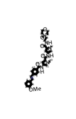 COc1cccc(/C=C/c2ccc(C(=O)Nc3cc(C(=O)Nc4cc(C(=O)NCC[N+]5([O-])CCOCC5)n(C)c4)n(C)c3)cc2)c1